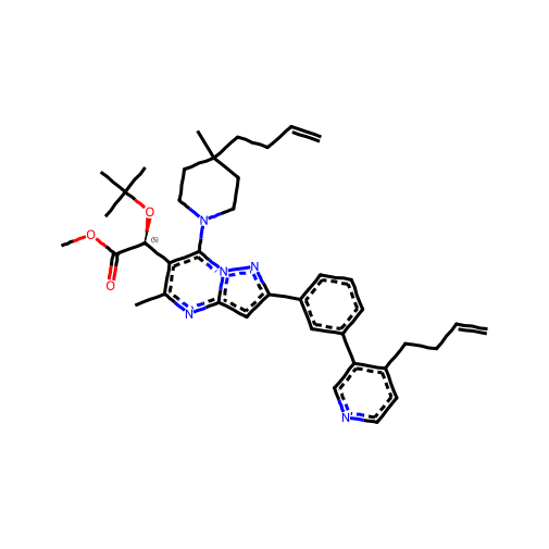 C=CCCc1ccncc1-c1cccc(-c2cc3nc(C)c([C@H](OC(C)(C)C)C(=O)OC)c(N4CCC(C)(CCC=C)CC4)n3n2)c1